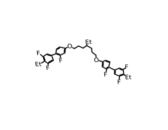 CCc1c(F)cc(-c2ccc(OCCCC(CC)CCCOc3ccc(-c4cc(F)c(CC)c(F)c4)c(F)c3)cc2F)cc1F